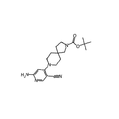 CC(C)(C)OC(=O)N1CCC2(CCN(c3cc(N)ncc3C#N)CC2)C1